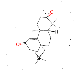 CC1(C)C(=O)CC[C@]2(C)C3=CC(=O)CC[C@]3(C[Si](C)(C)C)CC[C@@H]12